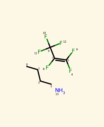 CCCC.FC(F)=C(F)C(F)(F)F.N